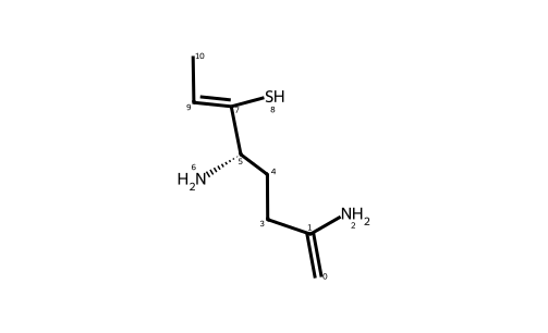 C=C(N)CC[C@H](N)/C(S)=C/C